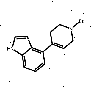 CCN1CC=C(c2cccc3[nH]ccc23)CC1